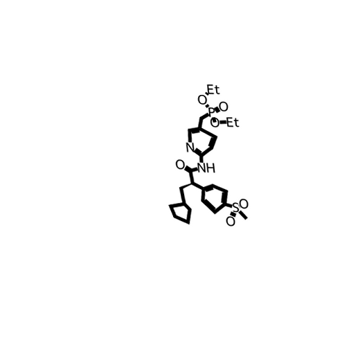 CCOP(=O)(Cc1ccc(NC(=O)[C@H](CC2CCCC2)c2ccc(S(C)(=O)=O)cc2)nc1)OCC